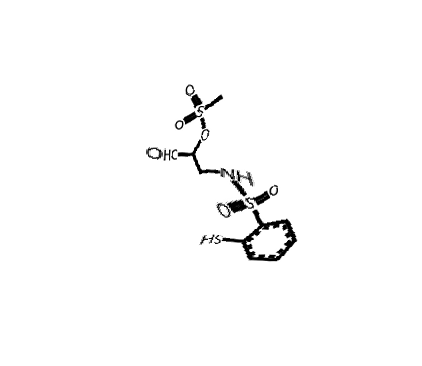 CS(=O)(=O)OC(C=O)CNS(=O)(=O)c1ccccc1S